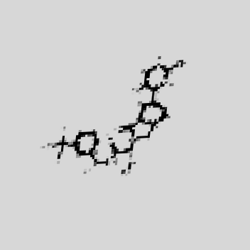 C[C@@H](NC(=O)[C@@H](CO)N1Cc2ccc(-c3nc(Cl)ncc3Cl)cc2C1=O)c1cccc(C(F)(F)F)c1